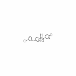 Cn1cc(C(=O)Nc2ccc(Cc3cccc(Cl)c3)cn2)ccc1=O